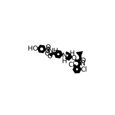 O=C(NS(=O)(=O)C1CCC(O)CC1)c1ccc(N2C[C@@H]3C[C@H]2C[C@H]3OCc2c(-c3c(Cl)cccc3Cl)noc2C2CC2)cc1